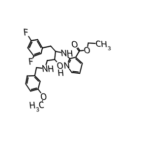 CCOC(=O)c1cccnc1NC(Cc1cc(F)cc(F)c1)C(O)CNCc1cccc(OC)c1